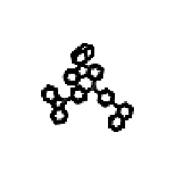 c1ccc2c(c1)-c1c(N(c3ccc(-c4cccc5ccccc45)cc3)c3ccc(-n4c5ccccc5c5ccccc54)cc3)cccc1C21C2CC3CC(C2)CC1C3